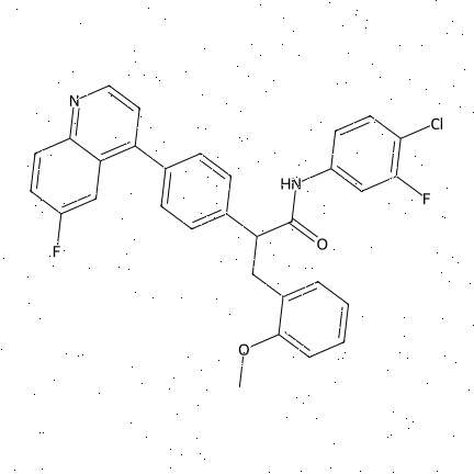 COc1ccccc1CC(C(=O)Nc1ccc(Cl)c(F)c1)c1ccc(-c2ccnc3ccc(F)cc23)cc1